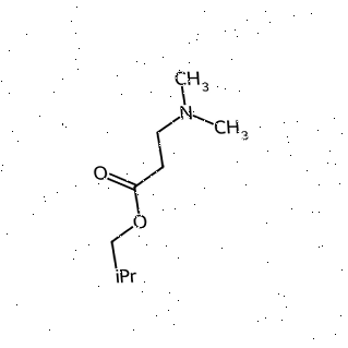 CC(C)COC(=O)CCN(C)C